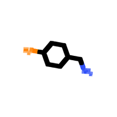 NCC1CCC(P)CC1